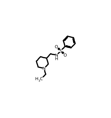 CCN1CCCC(CNS(=O)(=O)c2ccccc2)C1